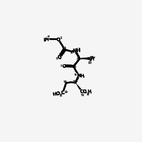 CC(C)OC(=O)N[C@H](C(=O)N[C@@H](CC(=O)O)C(=O)O)C(C)C